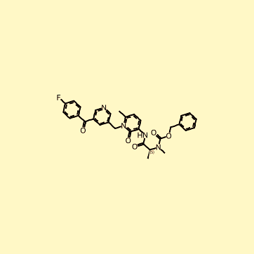 Cc1ccc(NC(=O)[C@H](C)N(C)C(=O)OCc2ccccc2)c(=O)n1Cc1cncc(C(=O)c2ccc(F)cc2)c1